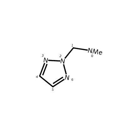 CNCn1nccn1